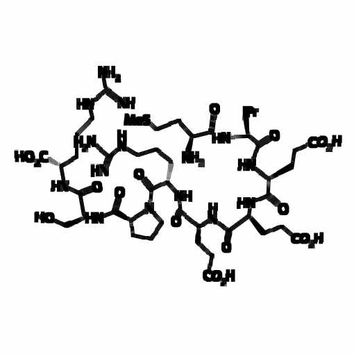 CSCC[C@H](N)C(=O)N[C@H](C(=O)N[C@@H](CCC(=O)O)C(=O)N[C@@H](CCC(=O)O)C(=O)N[C@@H](CCC(=O)O)C(=O)N[C@@H](CCCNC(=N)N)C(=O)N1CCC[C@H]1C(=O)N[C@@H](CO)C(=O)N[C@@H](CCCNC(=N)N)C(=O)O)C(C)C